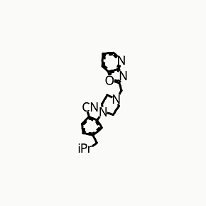 CC(C)Cc1ccc(C#N)c(N2CCN(Cc3nc4ncccc4o3)CC2)c1